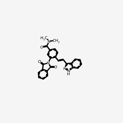 CN(C)C(=O)c1ccc(C=Cc2n[nH]c3ccccc23)c(N2C(=O)c3ccccc3C2=O)c1